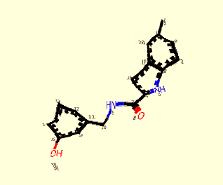 Cc1ccc2[nH]c(C(=O)NCc3cccc(O)c3)cc2c1